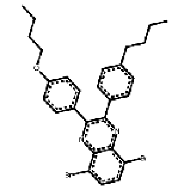 CCCCOc1ccc(-c2nc3c(Br)ccc(Br)c3nc2-c2ccc(CCCC)cc2)cc1